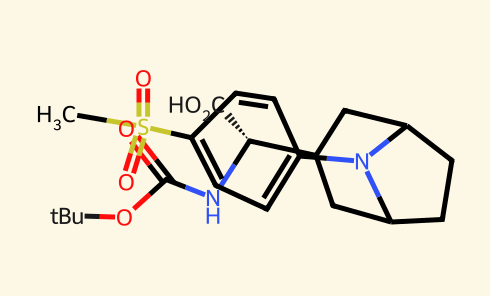 CC(C)(C)OC(=O)N[C@H](C(=O)O)C1CC2CCC(C1)N2c1ccc(S(C)(=O)=O)cc1